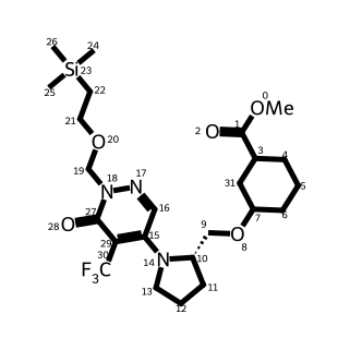 COC(=O)C1CCCC(OC[C@@H]2CCCN2c2cnn(COCC[Si](C)(C)C)c(=O)c2C(F)(F)F)C1